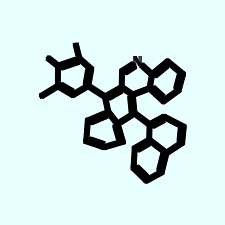 Cc1cc(-c2c3ccccc3c(-c3cccc4ccccc34)c3c2cnc2ccccc23)cc(C)c1C